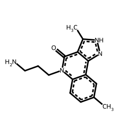 Cc1ccc2c(c1)c1n[nH]c(C)c1c(=O)n2CCCN